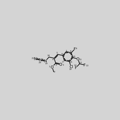 COC(=O)/C(=C\c1cc(F)c(OC(F)F)c(Cl)c1)CN=[N+]=[N-]